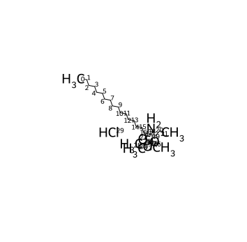 CCCCCCCCCCCCCCCCCC(N)(CCC)[Si](OC)(OC)OC.Cl